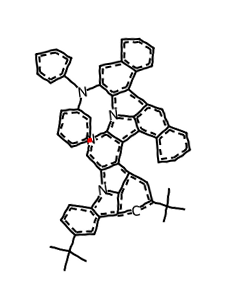 CC(C)(C)c1ccc2c(c1)c1cc(C(C)(C)C)cc3c4c5c6c7ccccc7cc7c8c9ccccc9cc(N(c9ccccc9)c9ccccc9)c8n(c5ncc4n2c13)c76